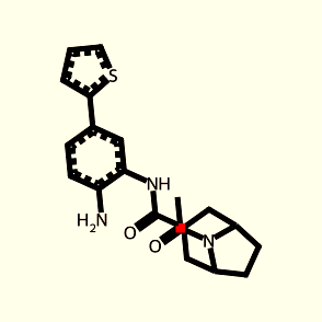 CC(=O)N1C2CCC1CC(C(=O)Nc1cc(-c3cccs3)ccc1N)C2